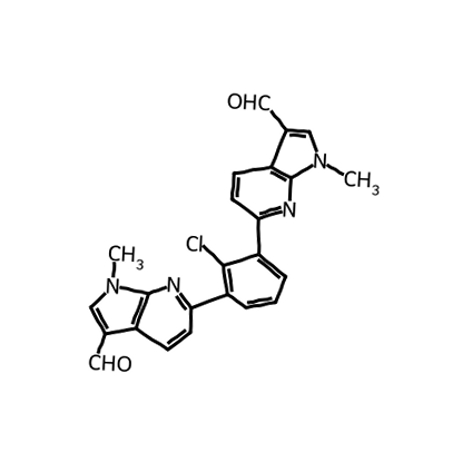 Cn1cc(C=O)c2ccc(-c3cccc(-c4ccc5c(C=O)cn(C)c5n4)c3Cl)nc21